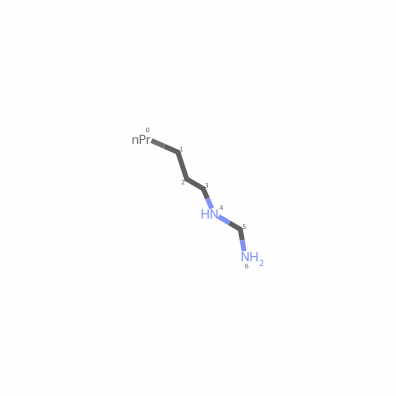 [CH2]CCCCCNCN